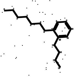 CCCCCCCc1ccccc1CCCC